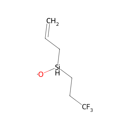 C=CC[SiH]([O])CCC(F)(F)F